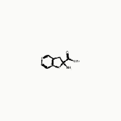 COC(=O)C1(N)Cc2cnccc2S1